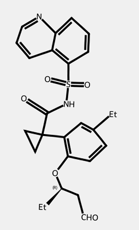 CCc1ccc(O[C@H](CC)CC=O)c(C2(C(=O)NS(=O)(=O)c3cccc4ncccc34)CC2)c1